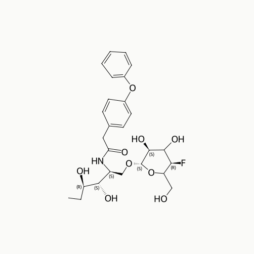 CC[C@@H](O)[C@@H](O)[C@H](CO[C@H]1OC(CO)[C@H](F)C(O)[C@@H]1O)NC(=O)Cc1ccc(Oc2ccccc2)cc1